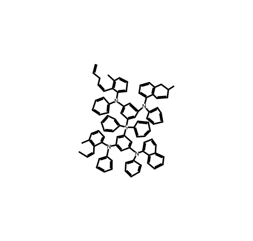 C=CC/C=C\c1c(C)cccc1N(c1ccccc1)c1cc(N(c2ccccc2)c2cccc3c2C=CC(C)C3)cc(S(c2ccccc2)(c2ccccc2)c2cc(N(c3ccccc3)c3cccc(C)c3/C=C\C)cc(N(c3ccccc3)c3cccc4ccccc34)c2)c1